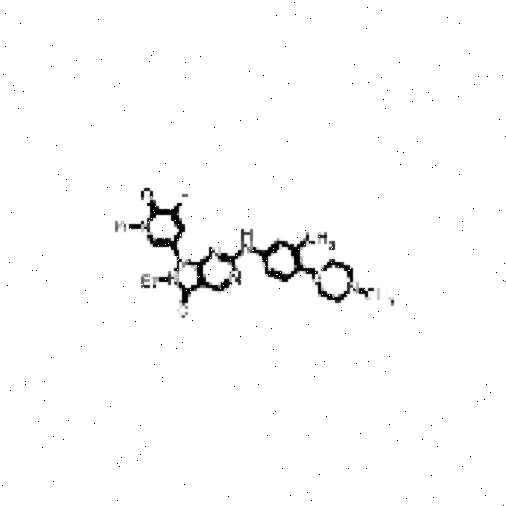 CCn1c(=O)c2cnc(Nc3ccc(N4CCN(C)CC4)c(C)c3)nc2n1-c1cc(F)c(=O)n(C(C)C)c1